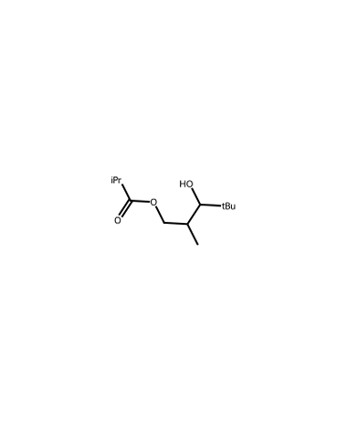 CC(C)C(=O)OCC(C)C(O)C(C)(C)C